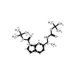 C[C@@H](NC(=O)OC(C)(C)C)c1ccc2ccn(C(=O)OC(C)(C)C)c2n1